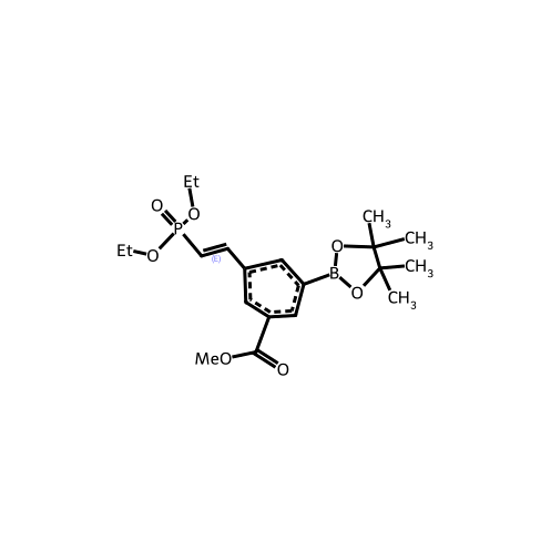 CCOP(=O)(/C=C/c1cc(B2OC(C)(C)C(C)(C)O2)cc(C(=O)OC)c1)OCC